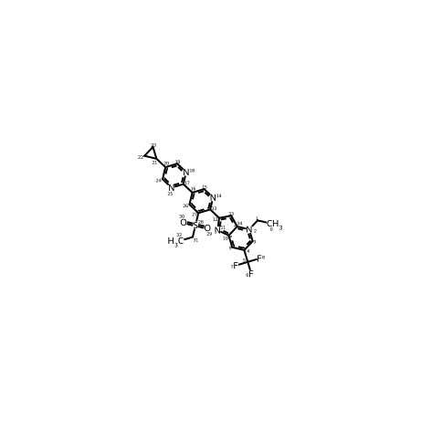 CCn1cc(C(F)(F)F)cc2nc(-c3ncc(-c4ncc(C5CC5)cn4)cc3S(=O)(=O)CC)cc1-2